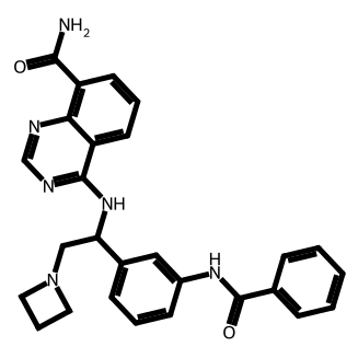 NC(=O)c1cccc2c(NC(CN3CCC3)c3cccc(NC(=O)c4ccccc4)c3)ncnc12